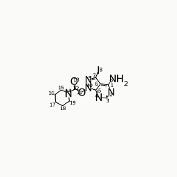 Nc1ncnc2c1c(I)nn2OC(=O)N1CCCCC1